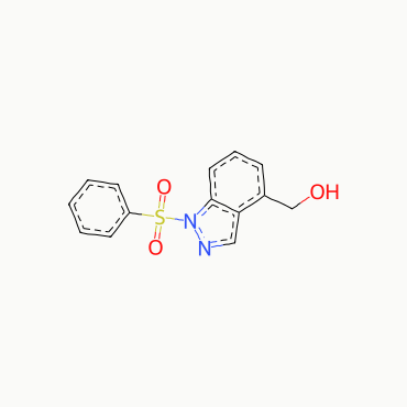 O=S(=O)(c1ccccc1)n1ncc2c(CO)cccc21